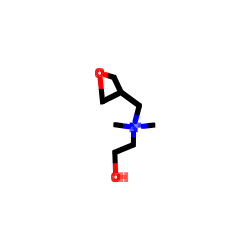 C[N+](C)(CCO)CC1COC1